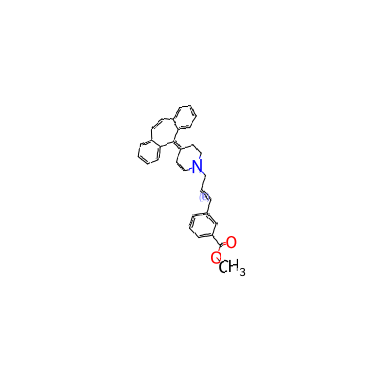 COC(=O)c1cccc(/C=C/CN2CCC(=C3c4ccccc4C=Cc4ccccc43)CC2)c1